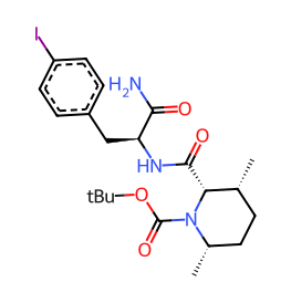 C[C@@H]1CC[C@H](C)N(C(=O)OC(C)(C)C)[C@@H]1C(=O)N[C@@H](Cc1ccc(I)cc1)C(N)=O